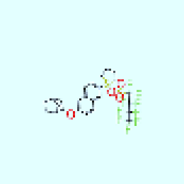 O=S(=O)(OS1(c2ccc3cc(OC4CC5CCC4C5)ccc3c2)CCCC1)C(F)(F)C(F)(F)C(F)(F)C(F)(F)F